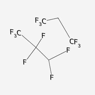 FC(F)(F)CC(F)(F)F.FC(F)C(F)(F)C(F)(F)F